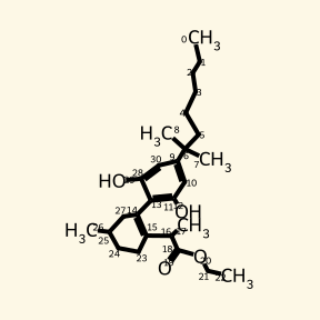 CCCCCCC(C)(C)c1cc(O)c(C2=C(C(C)C(=O)OCC)CCC(C)C2)c(O)c1